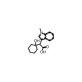 Cn1cc(C(C(=O)O)C2(O)CCCCC2)c2ccccc21